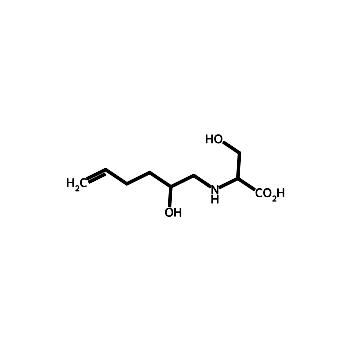 C=CCCC(O)CNC(CO)C(=O)O